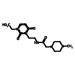 CN1CCN(CC(=O)NCCn2c(=O)ccn(CC(=O)O)c2=O)CC1